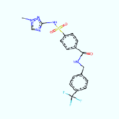 Cn1cnc(NS(=O)(=O)c2ccc(C(=O)NCc3ccc(C(F)(F)F)cc3)cc2)n1